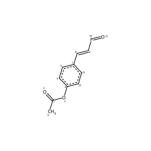 CC(=O)Oc1ccc(C=CP=O)cc1